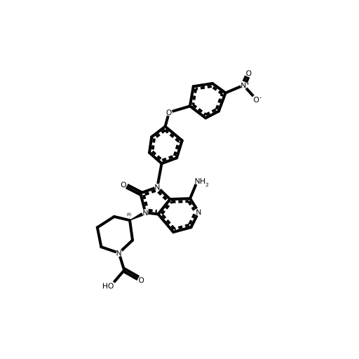 Nc1nccc2c1n(-c1ccc(Oc3ccc([N+](=O)[O-])cc3)cc1)c(=O)n2[C@@H]1CCCN(C(=O)O)C1